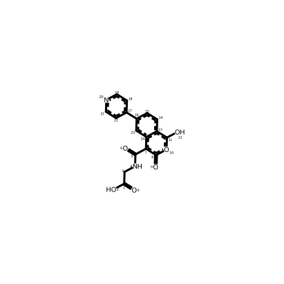 O=C(O)CNC(=O)c1c(=O)oc(O)c2ccc(-c3ccncc3)cc12